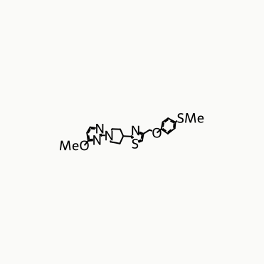 COc1ccnc(N2CCC(c3nc(COc4ccc(SC)cc4)cs3)CC2)n1